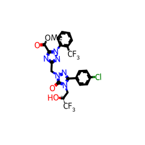 COC(=O)c1nc(Cn2nc(-c3ccc(Cl)cc3)n(C[C@@H](O)C(F)(F)F)c2=O)nn1-c1ccccc1C(F)(F)F